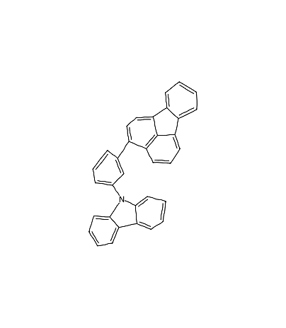 c1cc(-c2ccc3c4c(cccc24)-c2ccccc2-3)cc(-n2c3ccccc3c3ccccc32)c1